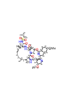 CC[C@@H]1C[C@@H](C)CCC=C[C@@H]2C[C@@]2(C(=O)NS(=O)(=O)C2(C)CC2)NC(=O)[C@@H]2C[C@@H](Oc3nc(-c4ccc(OC(C)C)cn4)cc4cc(OC)ccc34)CN2C(=O)[C@H]1NC(=O)O